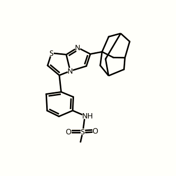 CS(=O)(=O)Nc1cccc(-c2csc3nc(C45CC6CC(CC(C6)C4)C5)cn23)c1